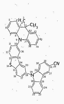 CC1(C)c2ccccc2N(c2ccc3sc4ccc(-n5c6ccccc6c6cc(C#N)ccc65)cc4c3c2)c2ccccc21